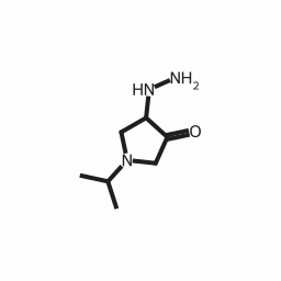 CC(C)N1CC(=O)C(NN)C1